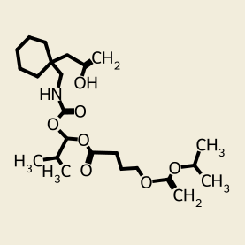 C=C(O)CC1(CNC(=O)OC(OC(=O)CCCOC(=C)OC(C)C)C(C)C)CCCCC1